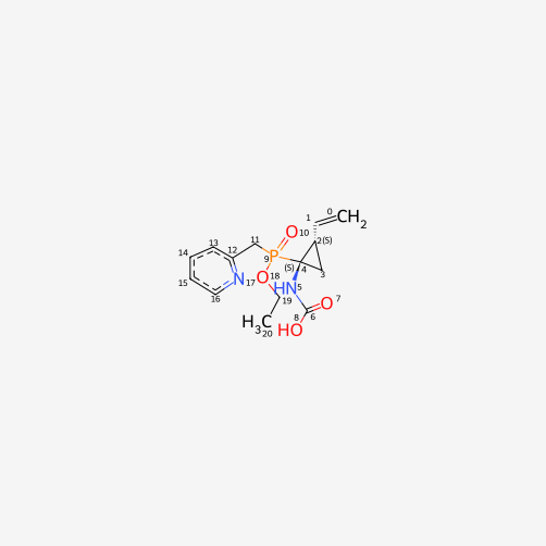 C=C[C@@H]1C[C@]1(NC(=O)O)P(=O)(Cc1ccccn1)OCC